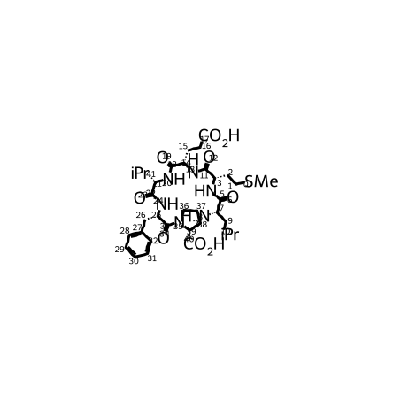 CSCC[C@H](NC(=O)[C@@H](N)CC(C)C)C(=O)N[C@@H](CCC(=O)O)C(=O)N[C@H](C(=O)N[C@@H](Cc1ccccc1)C(=O)N1CCC[C@H]1C(=O)O)C(C)C